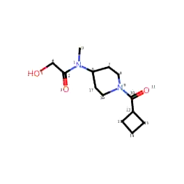 CN(C(=O)CO)C1CCN(C(=O)C2CCC2)CC1